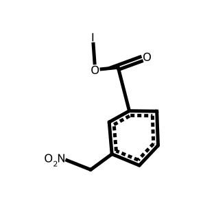 O=C(OI)c1cccc(C[N+](=O)[O-])c1